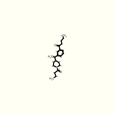 CCCCC(=O)c1cccc(C(C)C2CCN(C(=O)CCC)CC2)c1